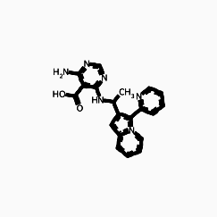 CC(Nc1ncnc(N)c1C(=O)O)c1cc2ccccn2c1-c1ccccn1